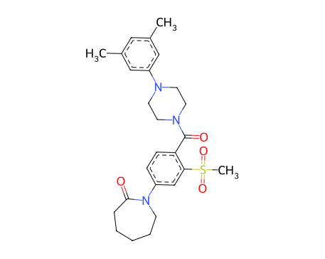 Cc1cc(C)cc(N2CCN(C(=O)c3ccc(N4CCCCCC4=O)cc3S(C)(=O)=O)CC2)c1